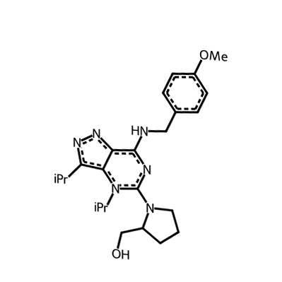 COc1ccc(CNc2nc(N3CCCC3CO)n(C(C)C)c3c(C(C)C)nnc2-3)cc1